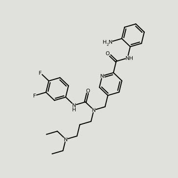 CCN(CC)CCCN(Cc1ccc(C(=O)Nc2ccccc2N)nc1)C(=O)Nc1ccc(F)c(F)c1